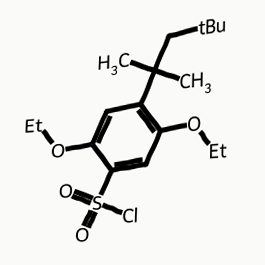 CCOc1cc(S(=O)(=O)Cl)c(OCC)cc1C(C)(C)CC(C)(C)C